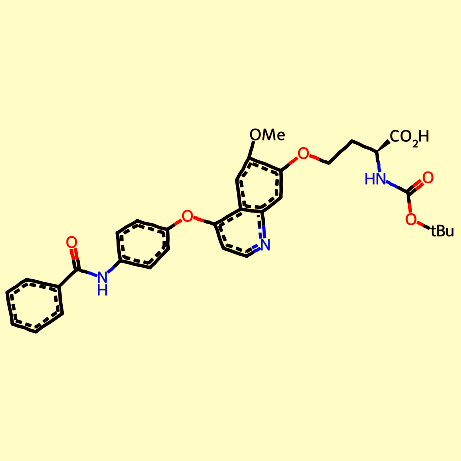 COc1cc2c(Oc3ccc(NC(=O)c4ccccc4)cc3)ccnc2cc1OCC[C@H](NC(=O)OC(C)(C)C)C(=O)O